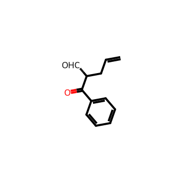 C=CCC(C=O)C(=O)c1ccccc1